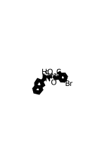 O=C(O)c1ccc(Br)cc1C(=O)Nc1nc(-c2ccc3ccccc3c2)cs1